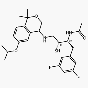 CC(=O)N[C@@H](Cc1cc(F)cc(F)c1)[C@H](S)CNC1COC(C)(C)c2ccc(OC(C)C)cc21